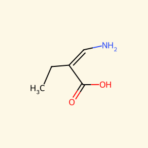 CCC(=CN)C(=O)O